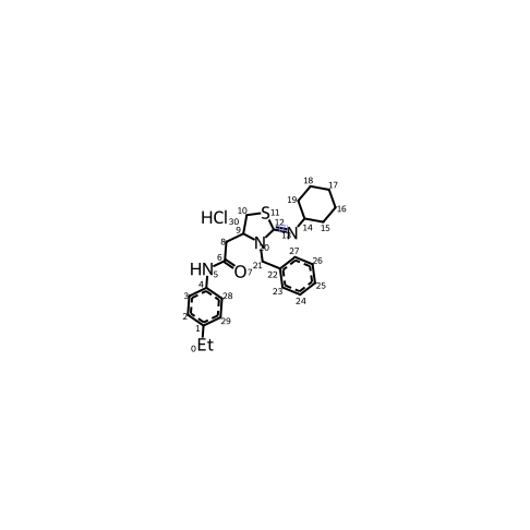 CCc1ccc(NC(=O)CC2CS/C(=N\C3CCCCC3)N2Cc2ccccc2)cc1.Cl